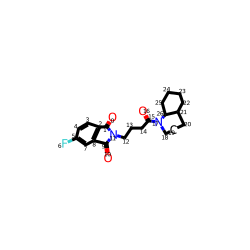 O=C1c2ccc(F)cc2C(=O)N1CCCC(=O)N1CCCC2CCCCC21